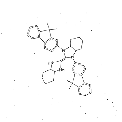 CC1(C)c2ccccc2-c2ccc(N3C(=C4NC5CCCCC5N4)N(c4ccc5c(c4)C(C)(C)c4ccccc4-5)C4CCCCC43)cc21